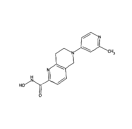 Cc1cc(N2CCc3nc(C(=O)NO)ccc3C2)ccn1